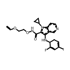 C=COCCONC(=O)c1c(NC2CC=C(I)C=C2F)c2cnccc2n1C1CC1